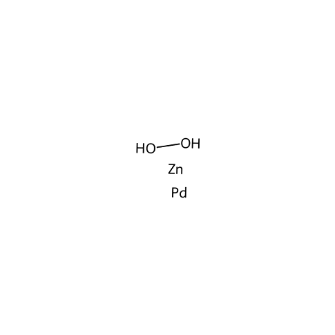 OO.[Pd].[Zn]